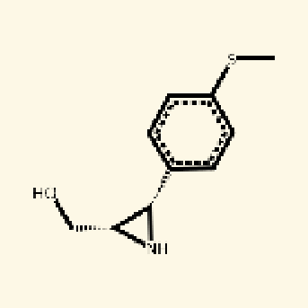 CSc1ccc([C@@H]2N[C@@H]2CO)cc1